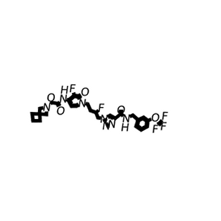 O=C(Nc1ccn(CCC(F)Cn2cc(C(=O)NCc3cccc(OC(F)(F)F)c3)nn2)c(=O)c1F)C(=O)N1CC2(CCC2)C1